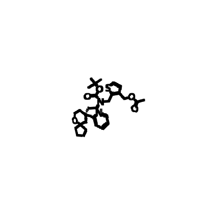 CC(=O)OCc1ccsc1CN(CC[C@@]1(c2ccccn2)CCOC2(CCCC2)C1)C(=O)OC(C)(C)C